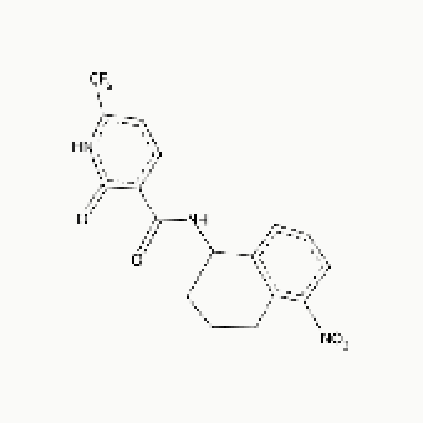 O=C(NC1CCCc2c1cccc2[N+](=O)[O-])c1ccc(C(F)(F)F)[nH]c1=O